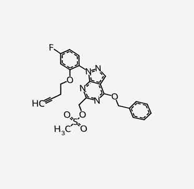 C#CCCOc1cc(F)ccc1-n1ncc2c(OCc3ccccc3)nc(COS(C)(=O)=O)nc21